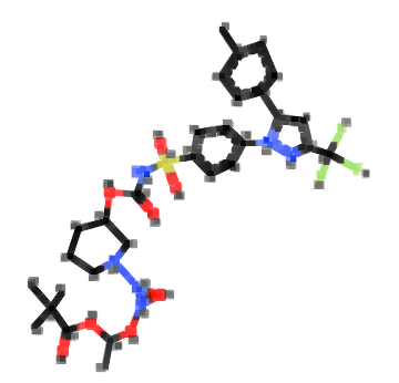 Cc1ccc(-c2cc(C(F)(F)F)nn2-c2ccc(S(=O)(=O)NC(=O)OC3CCCN(n4on4OC(C)OC(=O)C(C)(C)C)C3)cc2)cc1